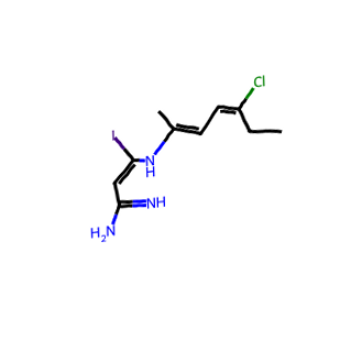 CC/C(Cl)=C\C=C(/C)N/C(I)=C\C(=N)N